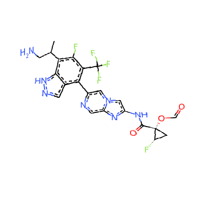 CC(CN)c1c(F)c(C(F)(F)F)c(-c2cn3cc(NC(=O)[C@@]4(OC=O)C[C@@H]4F)nc3cn2)c2cn[nH]c12